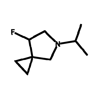 CC(C)N1CC(F)C2(CC2)C1